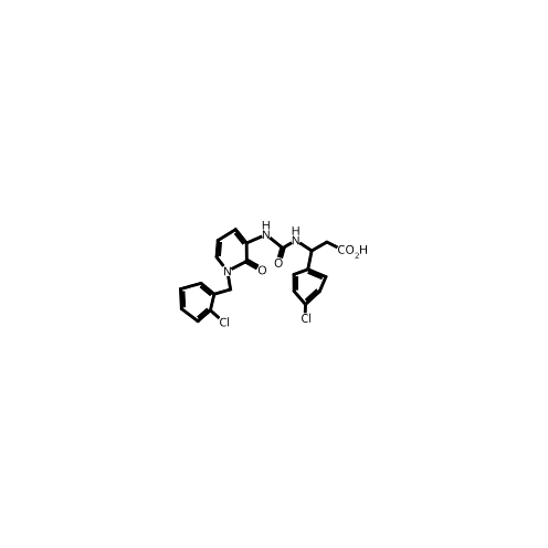 O=C(O)CC(NC(=O)Nc1cccn(Cc2ccccc2Cl)c1=O)c1ccc(Cl)cc1